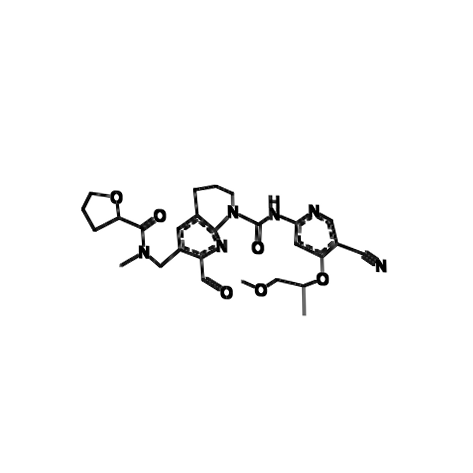 COCC(C)Oc1cc(NC(=O)N2CCCc3cc(CN(C)C(=O)C4CCCO4)c(C=O)nc32)ncc1C#N